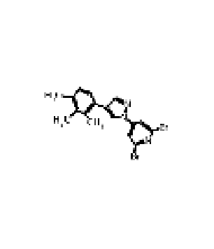 Cc1ccc(-c2cnn(-c3cc(Br)nc(Br)c3)c2)c(C)c1C